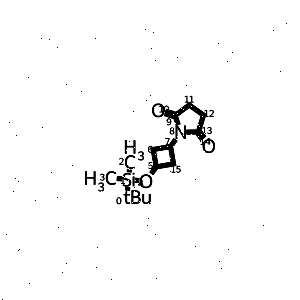 CC(C)(C)[Si](C)(C)OC1CC(N2C(=O)CCC2=O)C1